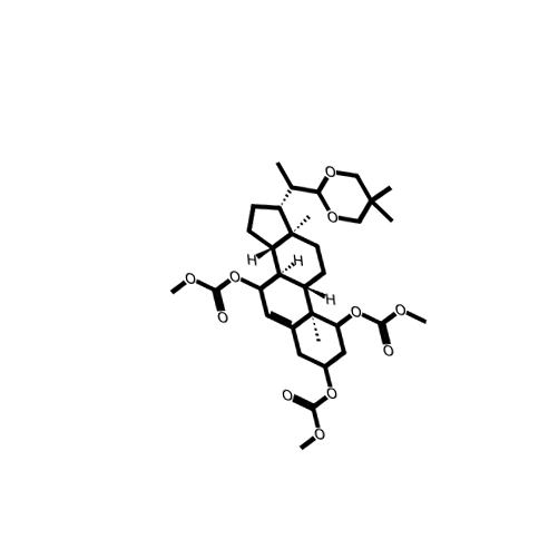 COC(=O)OC1CC2=CC(OC(=O)OC)[C@H]3[C@@H]4CC[C@H](C(C)C5OCC(C)(C)CO5)[C@@]4(C)CC[C@@H]3[C@@]2(C)C(OC(=O)OC)C1